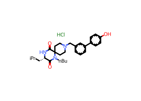 CCCCN1C(=O)[C@H](CC(C)C)NC(=O)C12CCN(Cc1cccc(-c3ccc(O)cc3)c1)CC2.Cl